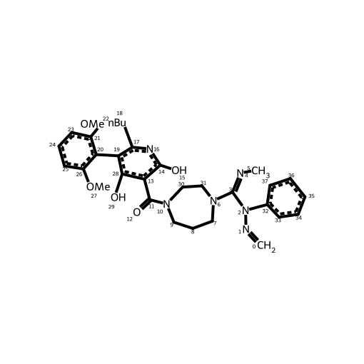 C=NN(/C(=N\C)N1CCCN(C(=O)c2c(O)nc(CCCC)c(-c3c(OC)cccc3OC)c2O)CC1)c1ccccc1